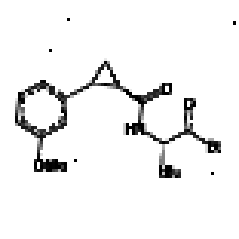 CCC(=O)[C@@H](NC(=O)[C@@H]1CC1c1cccc(OC)c1)C(C)(C)C